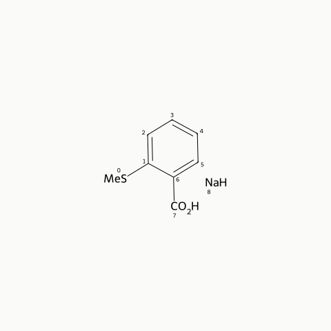 CSc1ccccc1C(=O)O.[NaH]